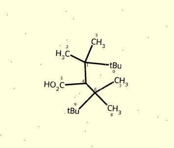 CC(C)(C)C(C)(C)C(C(=O)O)C(C)(C)C(C)(C)C